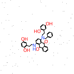 O=C1c2ccccc2C(=O)c2c(N(CCc3cc(O)ccc3O)Cc3ccccc3)ccc(NCCc3cc(O)ccc3O)c21